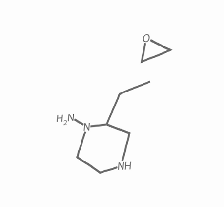 C1CO1.CCC1CNCCN1N